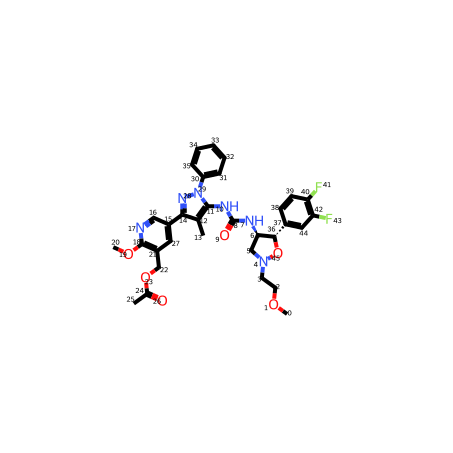 COCCN1C[C@@H](NC(=O)Nc2c(C)c(-c3cnc(OC)c(COC(C)=O)c3)nn2-c2ccccc2)[C@H](c2ccc(F)c(F)c2)O1